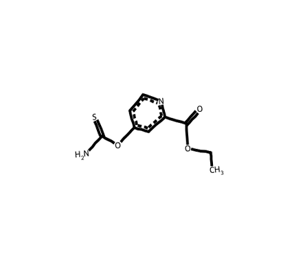 CCOC(=O)c1cc(OC(N)=S)ccn1